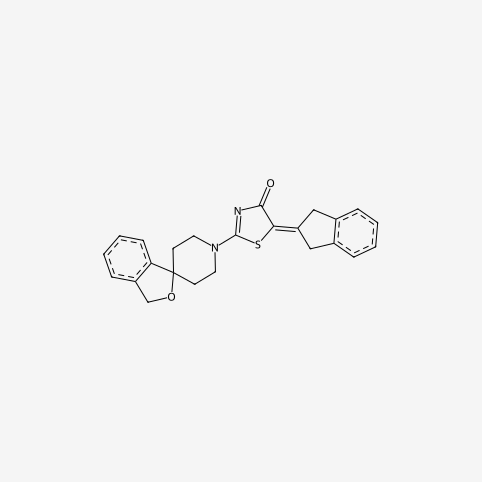 O=C1N=C(N2CCC3(CC2)OCc2ccccc23)SC1=C1Cc2ccccc2C1